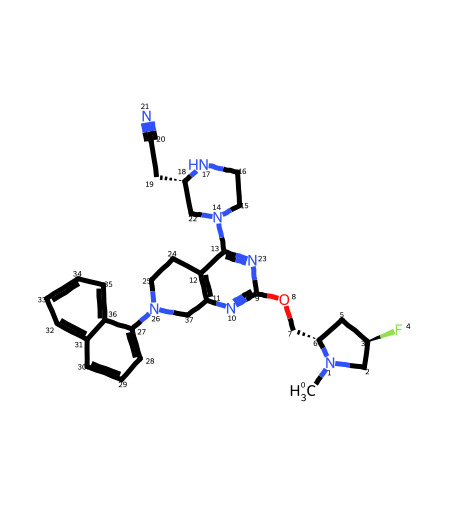 CN1C[C@H](F)C[C@H]1COc1nc2c(c(N3CCN[C@@H](CC#N)C3)n1)CCN(c1cccc3ccccc13)C2